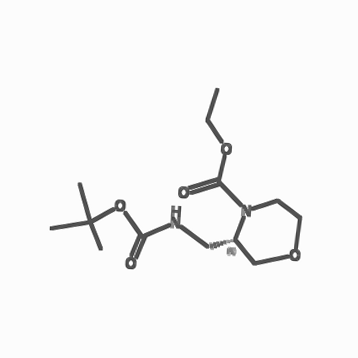 CCOC(=O)N1CCOC[C@@H]1CNC(=O)OC(C)(C)C